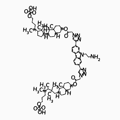 CC([C@H](C)CCCOS(=O)(=O)O)C1(C)CCC2[C@@H](CC[C@@H]3C[C@H](OC(=O)Cn4cc(-c5ccc6c7ccc(-c8cn(CC(=O)O[C@@H]9CCC%10(C)C%11CCC%12(C)C([C@H](C)CCCOS(=O)(=O)O)CC[C@H]%12[C@@H]%11CC[C@@H]%10C9)nn8)cc7n(CCN)c6c5)nn4)CCC23C)C1